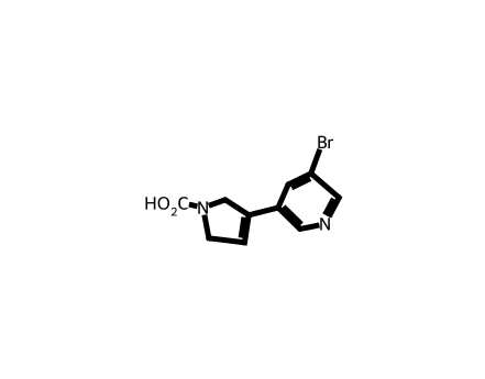 O=C(O)N1CC=C(c2cncc(Br)c2)C1